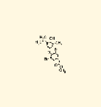 COC(=O)Cc1cc(Br)c(Oc2cc(C)c(O)c(C(C)C)c2)c(Br)c1